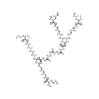 CCCCC(CC)C(=O)OCCCCCCCCCC(CCCCCCCCCOC(=O)C(CC)CCCC)OC(=O)CCN(C)CCCN(C)CCCN(C)CCC(=O)OC(CCCCCCCCCOC(=O)C(CC)CCCC)CCCCCCCCCOC(=O)C(CC)CCCC